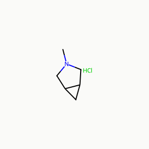 CN1CC2CC2C1.Cl